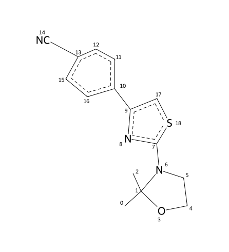 CC1(C)OCCN1c1nc(-c2ccc(C#N)cc2)cs1